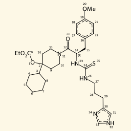 CCOC(=O)OC1(C2CCCCC2)CCN(C(=O)[C@@H](Cc2ccc(OC)cc2)NC(=S)NCCCc2c[nH]cn2)CC1